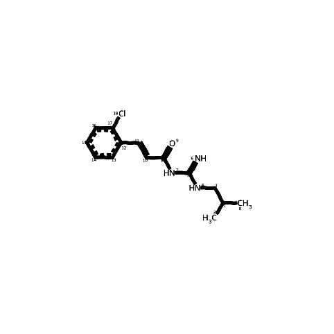 CC(C)CNC(=N)NC(=O)C=Cc1ccccc1Cl